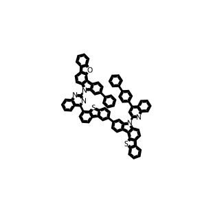 c1ccc(-c2ccc(-c3cc(-n4c5cc(-c6ccc7sc8c(-c9nc(-n%10c%11cc(-c%12ccccc%12)ccc%11c%11c%12oc%13ccccc%13c%12ccc%11%10)nc%10ccccc9%10)cccc8c7c6)ccc5c5c6sc7ccccc7c6ccc54)nc4ccccc34)cc2)cc1